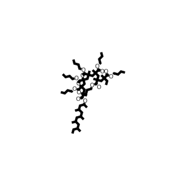 CCCCOC(=O)C(C)(CC)CC(C)(CC(C)(CC(C)(CC(C)(CC(C)(CC(C)(C)C(=O)OC(C)CC(C)CC(C)CC(C)CC(C)CC)C(=O)OCCCC)C(=O)OCCCC)C(=O)OCCCC)C(=O)OCCCC)C(=O)OCCCC